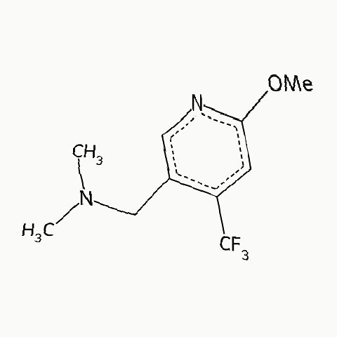 COc1cc(C(F)(F)F)c(CN(C)C)cn1